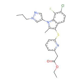 CCCn1cc(-n2c(C)c(Sc3cccc(CC(=O)OCC)n3)c3ccc(Cl)c(F)c32)cn1